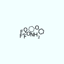 N[C@@]1(OC(=O)C(F)(F)F)CCC[C@H](Oc2ccccc2)C1